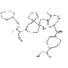 C[C@H](CC1CCCCC1)C(=O)N1CCC(O)(Cn2cc(C(=O)N3CCN(C(=O)OC(C)(C)C)CC3)ncc2=O)C2(CCCC2)C1